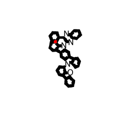 c1ccc(-c2nc3ccccc3nc2-n2c3ccccc3c3cc4c(cc32)c2ccccc2n4-c2cccc3c2oc2ccccc23)cc1